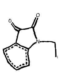 [CH]CN1C(=O)C(=O)c2ccccc21